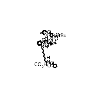 C=C[C@@H]1C[C@]1(NC(=O)[C@@H]1C[C@@H](Oc2ccc(C)cn2)CN1C(=O)OC(C)(C)C)C(=O)NS(=O)(=O)c1ccccc1NCCCCCCC[C@H](NC(=O)OC1CCCC1)C(=O)O